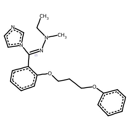 CCN(C)/N=C(/c1ccccc1OCCCOc1ccccc1)n1ccnc1